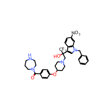 O=C(c1ccc(OC2CCN(CC(O)(c3cn(Cc4ccccc4)c4cc([N+](=O)[O-])ccc34)C(F)(F)F)CC2)cc1)N1CCCNCC1